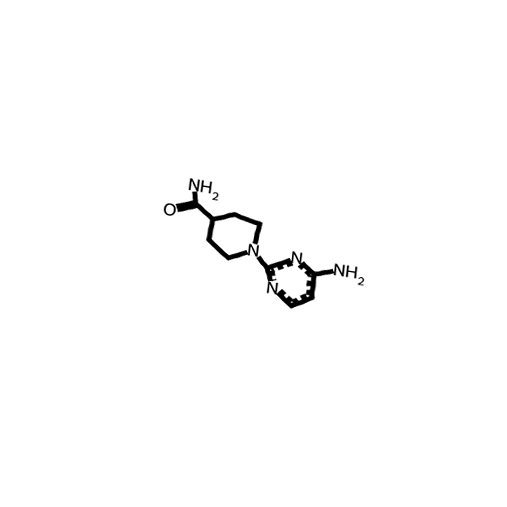 NC(=O)C1CCN(c2nccc(N)n2)CC1